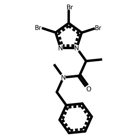 CC(C(=O)N(C)Cc1ccccc1)n1nc(Br)c(Br)c1Br